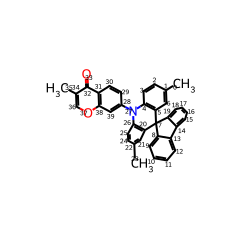 Cc1ccc2c(c1)C1(c3ccccc3-c3ccccc31)c1cc(C)ccc1N2c1ccc2c(=O)c(C)coc2c1